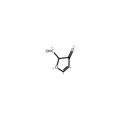 O=[C]C1OC=CC1=O